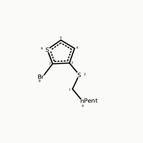 CCCCCCSc1ccsc1Br